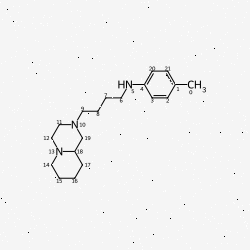 Cc1ccc(NCCCCN2CCN3CCCCC3C2)cc1